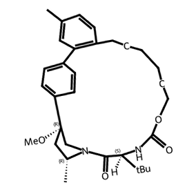 CO[C@@]12C[C@@H](C)N(C1)C(=O)[C@H](C(C)(C)C)NC(=O)OCCCCCCc1ccc(C)cc1-c1ccc2cc1